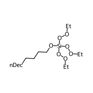 CCCCCCCCCCCCCCO[Si](OOCC)(OOCC)OOCC